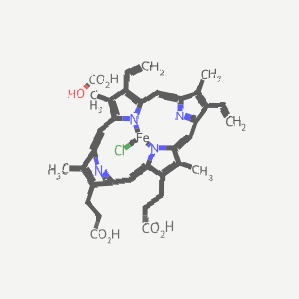 C=CC1=C(C)/C2=C/c3c(C=C)c(C)c4[n]3[Fe]([Cl])[n]3/c(c(C)c(CCC(=O)O)/c3=C/C3=NC(=C\4)/C(C)=C3CCC(=O)O)=C\C1=N2.O=C(O)O